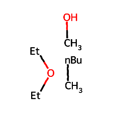 CCCCC.CCOCC.CO